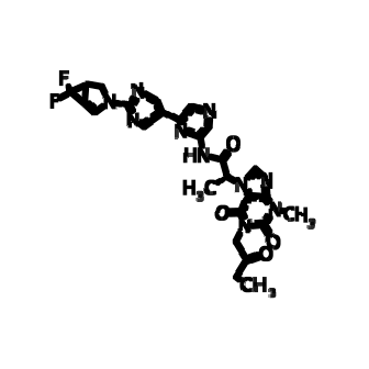 CCC(=O)Cn1c(=O)c2c(ncn2[C@@H](C)C(=O)Nc2cncc(-c3cnc(N4C=C5C(C4)C5(F)F)nc3)n2)n(C)c1=O